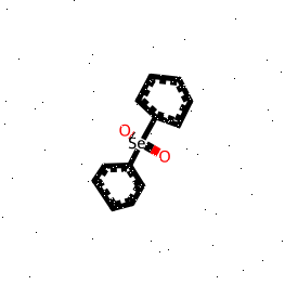 O=[Se](=O)(c1ccccc1)c1ccccc1